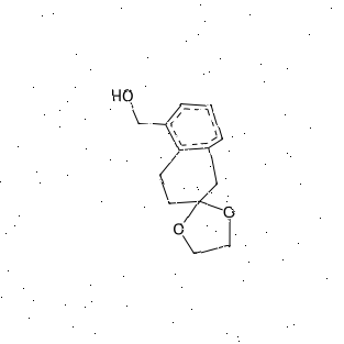 OCc1cccc2c1CCC1(C2)OCCO1